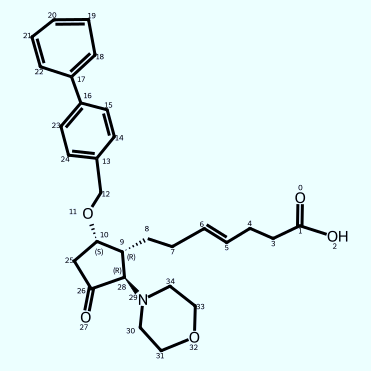 O=C(O)CCC=CCC[C@H]1[C@@H](OCc2ccc(-c3ccccc3)cc2)CC(=O)[C@@H]1N1CCOCC1